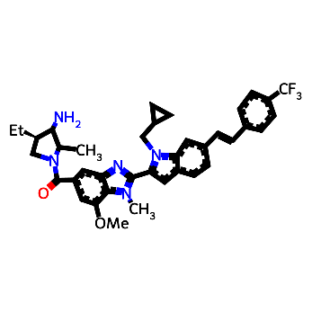 CC[C@@H]1CN(C(=O)c2cc(OC)c3c(c2)nc(-c2cc4ccc(/C=C/c5ccc(C(F)(F)F)cc5)cc4n2CC2CC2)n3C)C(C)C1N